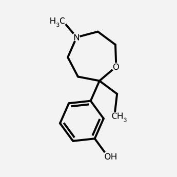 CCC1(c2cccc(O)c2)CCN(C)CCO1